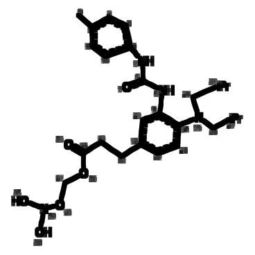 Cc1ccc(NC(=O)Nc2cc(CCC(=O)OCON(O)O)ccc2N(CC(C)C)CC(C)C)cc1